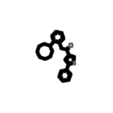 O=C(Cc1ccccc1C1CCCCCCC1)c1csc(-c2ccccc2)c1